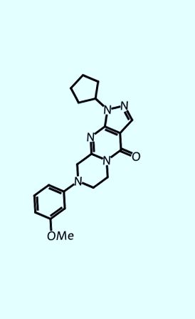 COc1cccc(N2CCn3c(nc4c(cnn4C4CCCC4)c3=O)C2)c1